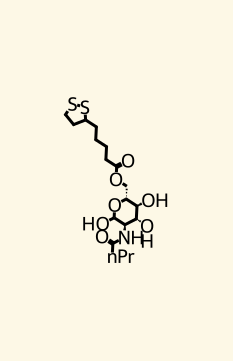 CCCC(=O)N[C@H]1C(O)O[C@H](COC(=O)CCCCC2CCSS2)[C@@H](O)[C@@H]1O